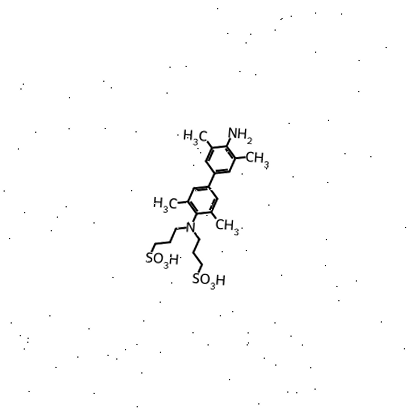 Cc1cc(-c2cc(C)c(N(CCCS(=O)(=O)O)CCCS(=O)(=O)O)c(C)c2)cc(C)c1N